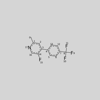 Cc1cc(-c2ccc(C(F)(F)F)cc2)c(F)cn1